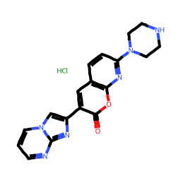 Cl.O=c1oc2nc(N3CCNCC3)ccc2cc1-c1cn2cccnc2n1